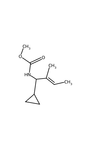 CC=C(C)C(NC(=O)OC)C1CC1